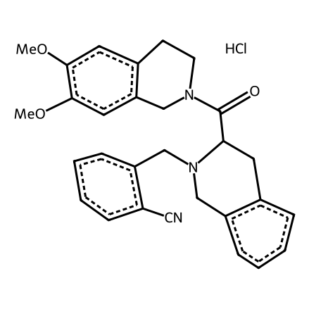 COc1cc2c(cc1OC)CN(C(=O)C1Cc3ccccc3CN1Cc1ccccc1C#N)CC2.Cl